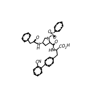 N#Cc1ccccc1-c1ccc(CC(NC(=O)C2C[C@@H](NC(=O)Cc3ccccc3)CN2S(=O)(=O)c2ccccc2)C(=O)O)cc1